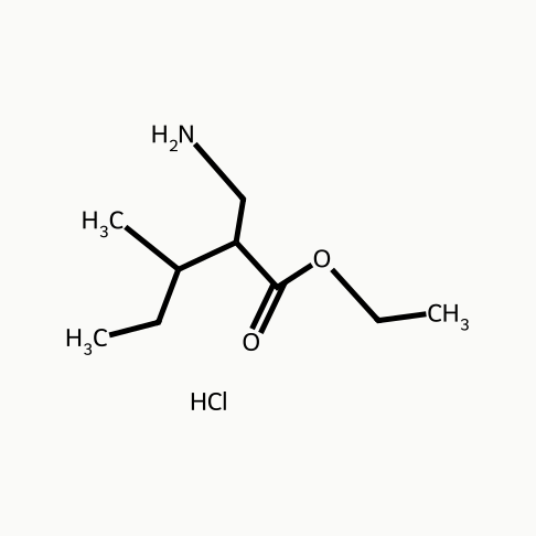 CCOC(=O)C(CN)C(C)CC.Cl